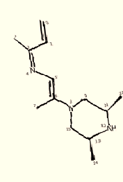 C=C/C(C)=N\C=C(/C)N1C[C@@H](C)N[C@@H](C)C1